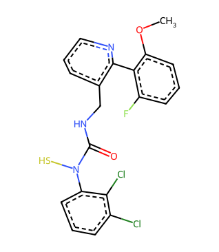 COc1cccc(F)c1-c1ncccc1CNC(=O)N(S)c1cccc(Cl)c1Cl